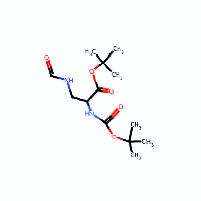 CC(C)(C)OC(=O)NC(CNC=O)C(=O)OC(C)(C)C